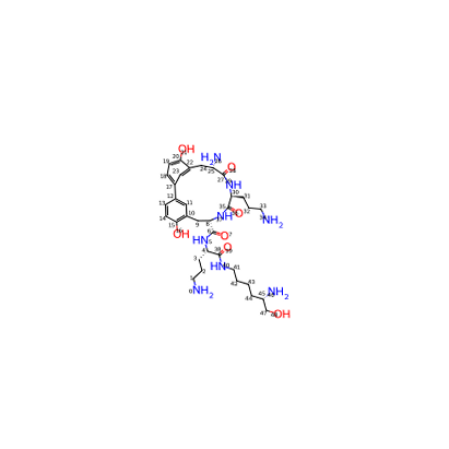 NCCC[C@H](NC(=O)[C@@H]1Cc2cc(ccc2O)-c2ccc(O)c(c2)C[C@H](N)C(=O)N[C@@H](CCCN)C(=O)N1)C(=O)NCCCC[C@H](N)CO